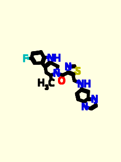 CC1Cc2c([nH]c3ccc(F)cc23)CN1C(=O)c1ncsc1CNc1ccc2nccnc2c1